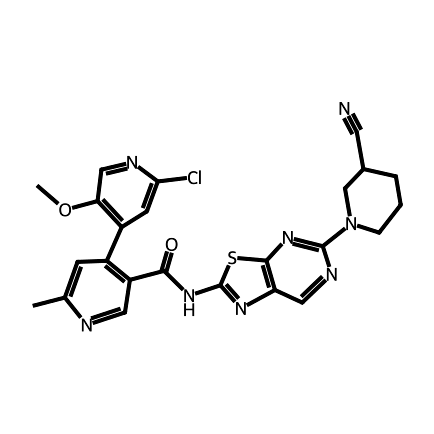 COc1cnc(Cl)cc1-c1cc(C)ncc1C(=O)Nc1nc2cnc(N3CCCC(C#N)C3)nc2s1